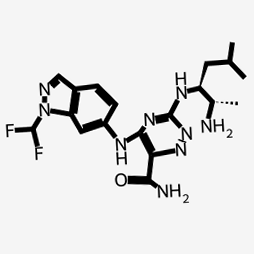 CC(C)C[C@H](Nc1nnc(C(N)=O)c(Nc2ccc3cnn(C(F)F)c3c2)n1)[C@H](C)N